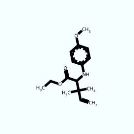 C=CC(C)(C)C(Nc1ccc(OC)cc1)C(=O)OCC